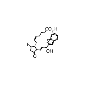 O=C(O)CCC/C=C\C[C@H]1[C@H](F)CC(=O)[C@@H]1/C=C/[C@@H](O)c1cc2ccccc2s1